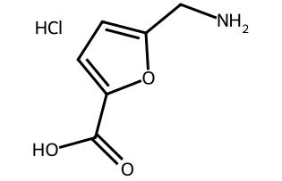 Cl.NCc1ccc(C(=O)O)o1